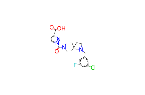 O=C(O)c1ccn(C(=O)N2CCC3(CCN(Cc4cc(F)cc(Cl)c4)C3)CC2)n1